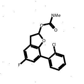 CNC(=O)OC1Cc2cc(F)cc(-c3ccccc3Cl)c2O1